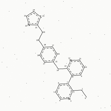 CCc1ncccc1-c1cccnc1Cc1ccc(CCc2nccs2)cc1